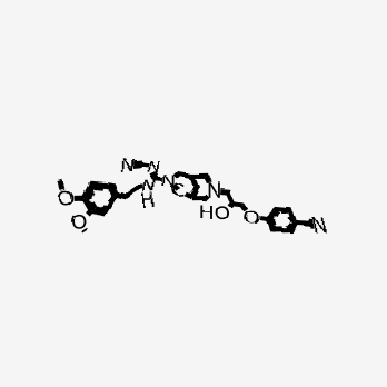 COc1ccc(CCN/C(=N\C#N)N2CC3CC(CN(CC(O)COc4ccc(C#N)cc4)C3)C2)cc1OC